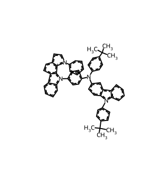 CC(C)(C)c1ccc(N(c2ccc(-n3c4ccccc4c4ccc5ccn(-c6ccccc6)c5c43)cc2)c2ccc3c(c2)c2ccccc2n3-c2ccc(C(C)(C)C)cc2)cc1